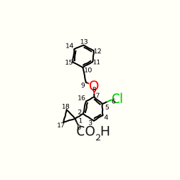 O=C(O)C1(c2ccc(Cl)c(OCc3ccccc3)c2)CC1